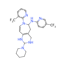 FC(F)(F)c1ccc(NC2CC3=C(C=CN2c2ncccc2C(F)(F)F)NC(N2CCCCC2)NC3)nc1